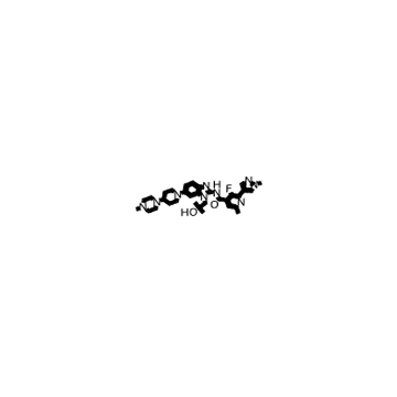 Cc1cc(C(=O)Nc2nc3ccc(N4CCC(N5CCN(C)CC5)CC4)cc3n2CC(C)(C)O)c(F)c(-c2cnn(C)c2)n1